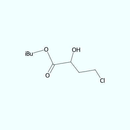 CCC(C)OC(=O)C(O)CCCl